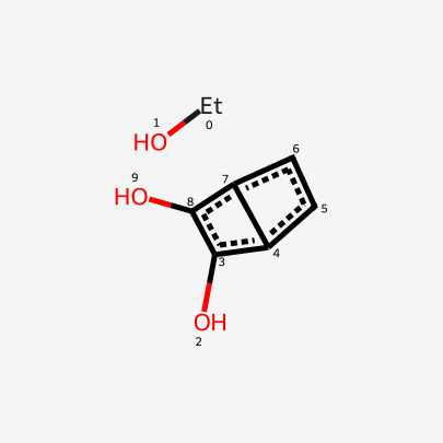 CCO.Oc1c2ccc-2c1O